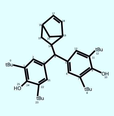 CC(C)(C)c1cc(C(c2cc(C(C)(C)C)c(O)c(C(C)(C)C)c2)C2CC3C=CC2C3)cc(C(C)(C)C)c1O